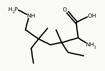 CCC(C)(CNP)CC(C)(CC)C(N)C(=O)O